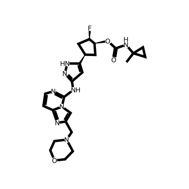 CC1(NC(=O)O[C@H]2C[C@@H](c3cc(Nc4nccc5nc(CN6CCOCC6)cn45)n[nH]3)C[C@H]2F)CC1